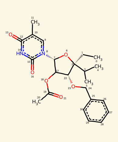 CC[C@@]1(C(C)C)O[C@@H](n2cc(C)c(=O)[nH]c2=O)C(OC(C)=O)[C@H]1OCc1ccccc1